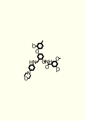 COc1cc(OC)cc(C(=O)NOc2ccc(Oc3ccc(C)cc3OC)cc2CNc2ccc(N3CCOCC3)cc2)c1